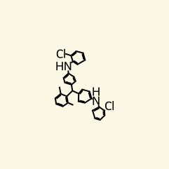 Cc1cccc(C)c1C(c1ccc(Nc2ccccc2Cl)cc1)c1ccc(Nc2ccccc2Cl)cc1